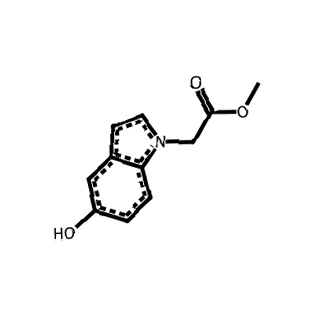 COC(=O)Cn1ccc2cc(O)ccc21